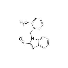 Cc1ccccc1Cn1c(C=O)nc2ccccc21